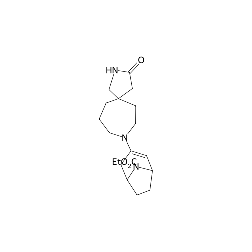 CCOC(=O)N1C2C=C(N3CCCC4(CC3)CNC(=O)C4)CC1CC2